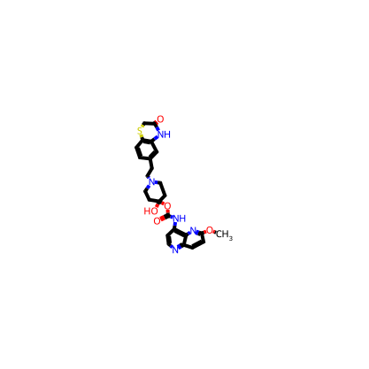 COc1ccc2nccc(NC(=O)OC3(O)CCN(CCc4ccc5c(c4)NC(=O)CS5)CC3)c2n1